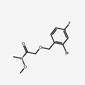 CON(C)C(=O)COCc1ccc(F)cc1Br